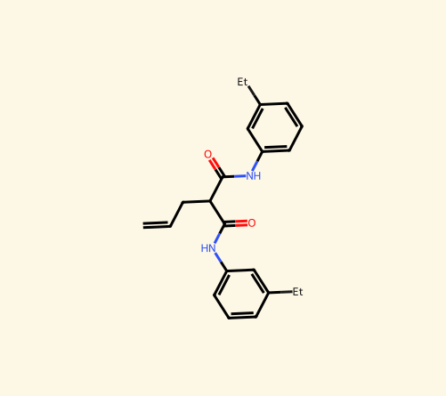 C=CCC(C(=O)Nc1cccc(CC)c1)C(=O)Nc1cccc(CC)c1